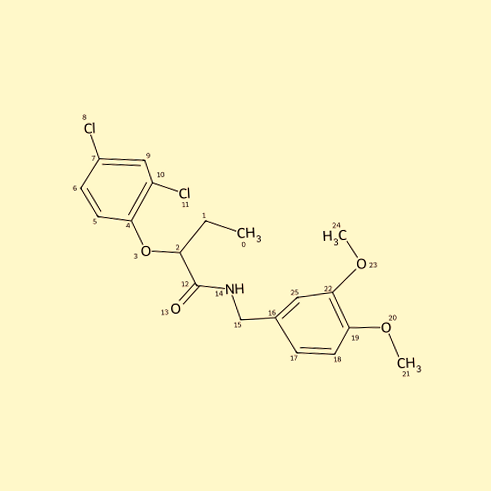 CCC(Oc1ccc(Cl)cc1Cl)C(=O)NCc1ccc(OC)c(OC)c1